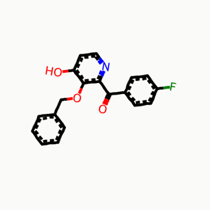 O=C(c1ccc(F)cc1)c1nccc(O)c1OCc1ccccc1